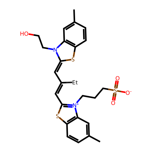 CCC(/C=C1\Sc2ccc(C)cc2N1CCO)=C\c1sc2ccc(C)cc2[n+]1CCCS(=O)(=O)[O-]